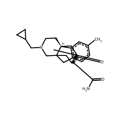 Cc1ccc2c(c1)[C@]13CCN(CC4CC4)CC1(C2)Cc1cc(C(N)=O)c(=O)[nH]c1C3